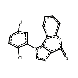 O=c1oc2ccccc2c2c1ncn2-c1cc(Cl)ccc1Cl